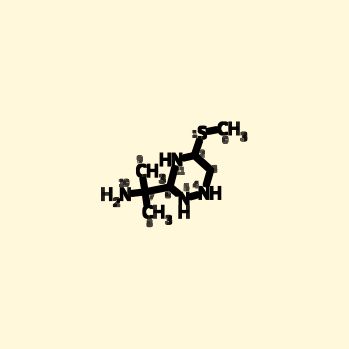 CSC1CNNC(C(C)(C)N)N1